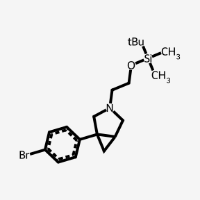 CC(C)(C)[Si](C)(C)OCCN1CC2CC2(c2ccc(Br)cc2)C1